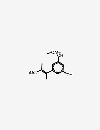 CCCCCCCC/C(C)=C(\C)c1cc(O)cc(O)c1.COC